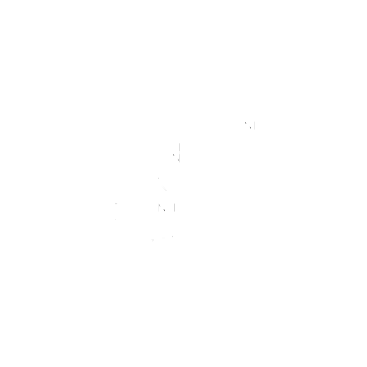 CNCCCCC(CC(=O)NC(CC(C)=O)CC(C)=O)NC